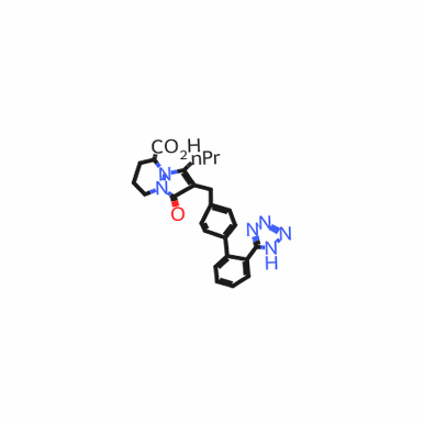 CCCc1c(Cc2ccc(-c3ccccc3-c3nnn[nH]3)cc2)c(=O)n2n1C(C(=O)O)CCC2